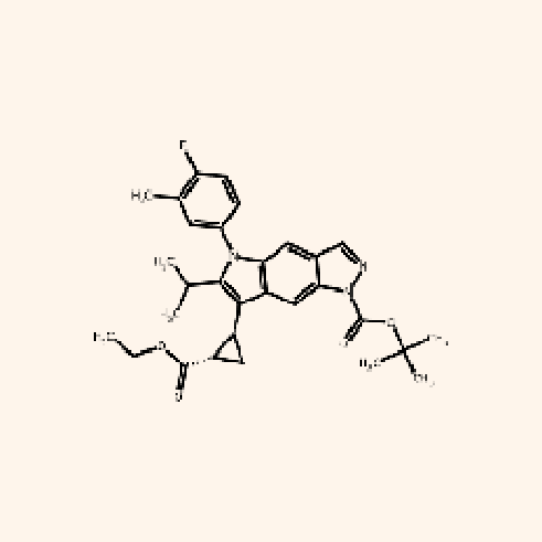 CCOC(=O)[C@H]1C[C@@H]1c1c(C(C)C)n(-c2ccc(F)c(C)c2)c2cc3cnn(C(=O)OC(C)(C)C)c3cc12